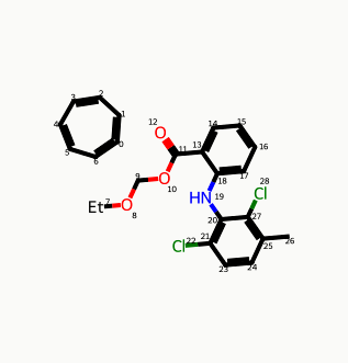 C1=CC=CC=CC=1.CCOCOC(=O)c1ccccc1Nc1c(Cl)ccc(C)c1Cl